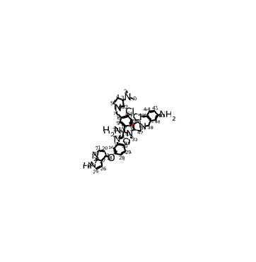 CN(C)C1CCN(Cc2cc(C(N)(c3nc4cc(Oc5ccnc6[nH]ccc56)ccc4o3)N(C)C3CCN(Cc4cc(N)ccc4Cl)C3)ccc2Cl)C1